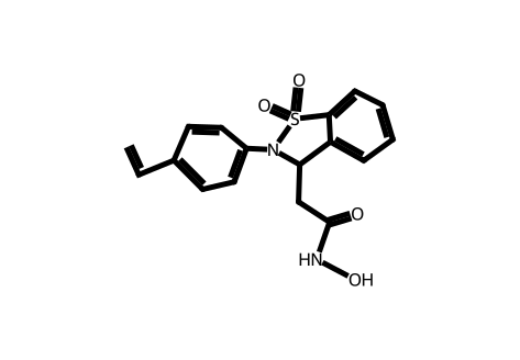 C=Cc1ccc(N2C(CC(=O)NO)c3ccccc3S2(=O)=O)cc1